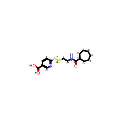 O=C(O)c1ccc(SSCCNC(=O)C2CCCCCC2)nc1